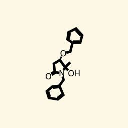 CC1(O)[C@H](OCc2ccccc2)CC(=O)N1Cc1ccccc1